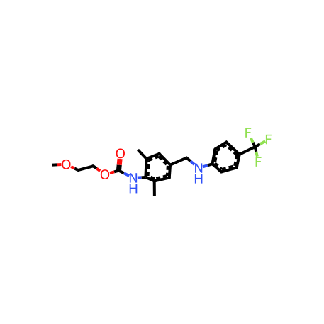 COCCOC(=O)Nc1c(C)cc(CNc2ccc(C(F)(F)F)cc2)cc1C